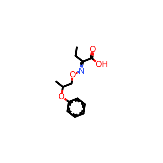 CC/C(=N\OCC(C)Oc1ccccc1)C(=O)O